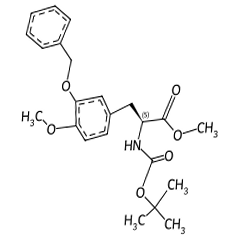 COC(=O)[C@H](Cc1ccc(OC)c(OCc2ccccc2)c1)NC(=O)OC(C)(C)C